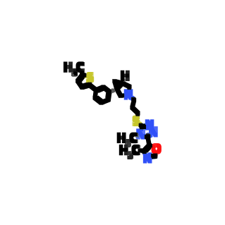 Cc1ccc(-c2cccc([C@]34C[C@H]3CN(CCCSc3nnc(-c5ocnc5C)n3C)C4)c2)s1